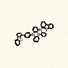 c1ccc2c(c1)B1c3ccccc3N(c3cccc4c3sc3ccccc34)c3cccc(c31)N2c1ccc(-c2cccc3c2oc2ccccc23)cc1